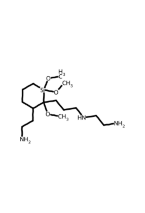 COC1(CCCNCCN)C(CCN)CCC[Si]1(OC)OC